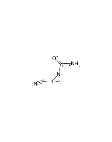 N#CC1CN1C(N)=O